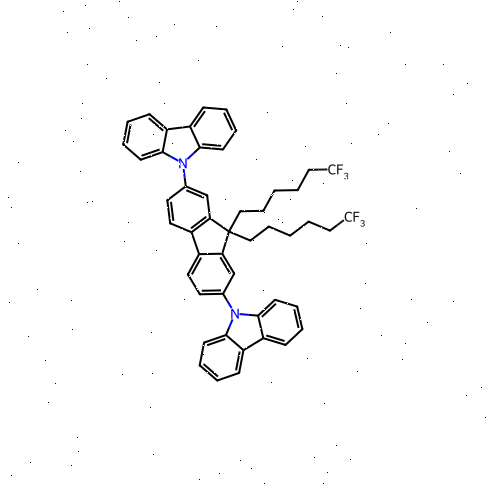 FC(F)(F)CCCCCC1(CCCCCC(F)(F)F)c2cc(-n3c4ccccc4c4ccccc43)ccc2-c2ccc(-n3c4ccccc4c4ccccc43)cc21